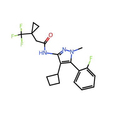 Cn1nc(NC(=O)CC2(C(F)(F)F)CC2)c(C2CCC2)c1-c1ccccc1F